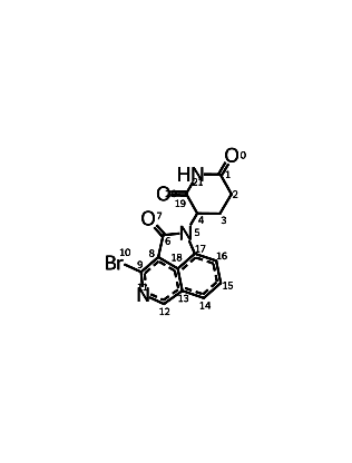 O=C1CCC(N2C(=O)c3c(Br)ncc4cccc2c34)C(=O)N1